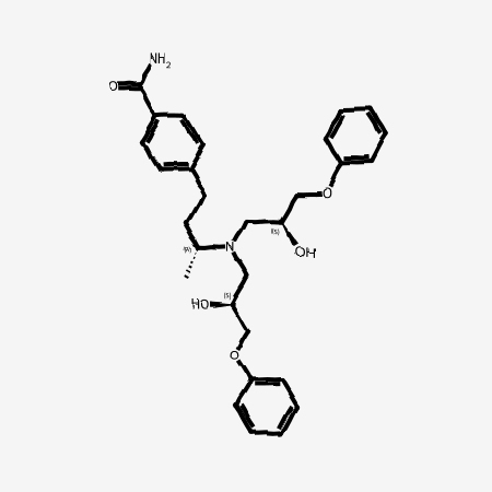 C[C@H](CCc1ccc(C(N)=O)cc1)N(C[C@H](O)COc1ccccc1)C[C@H](O)COc1ccccc1